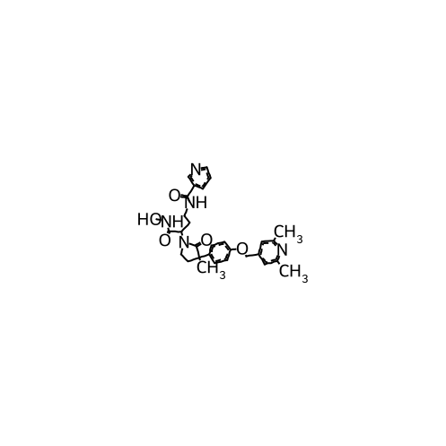 Cc1cc(COc2ccc(C3(C)CCN(C(CCNC(=O)c4cccnc4)C(=O)NO)C3=O)cc2)cc(C)n1